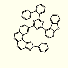 c1ccc(-c2ccccc2-c2nc(-c3ccc4ccc5ccc6nn(-c7ccccc7)nc6c5c4c3)nc(-c3cccc4oc5ccccc5c34)n2)cc1